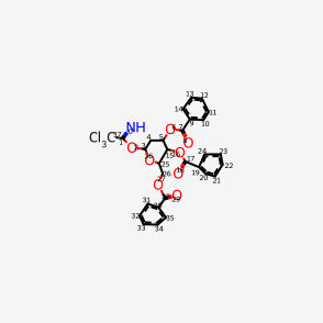 N=C(OC1CC(OC(=O)c2ccccc2)C(OC(=O)c2ccccc2)C(COC(=O)c2ccccc2)O1)C(Cl)(Cl)Cl